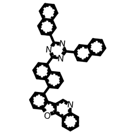 c1ccc2cc(-c3nc(-c4ccc5ccccc5c4)nc(-c4cccc5c(-c6cccc7oc8c9ccccc9ncc8c67)cccc45)n3)ccc2c1